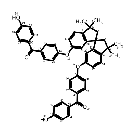 CC1(C)CC2(CC(C)(C)c3ccc(Oc4ccc(C(=O)c5ccc(O)cc5)cc4)cc32)c2cc(Oc3ccc(C(=O)c4ccc(O)cc4)cc3)ccc21